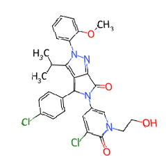 COc1ccccc1-n1nc2c(c1C(C)C)C(c1ccc(Cl)cc1)N(c1cc(Cl)c(=O)n(CCO)c1)C2=O